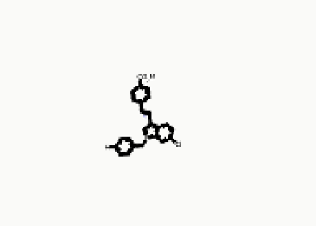 O=C(O)c1ccc(/C=C/c2cn(Cc3ccc(F)cc3)c3cc(Cl)ccc23)cc1